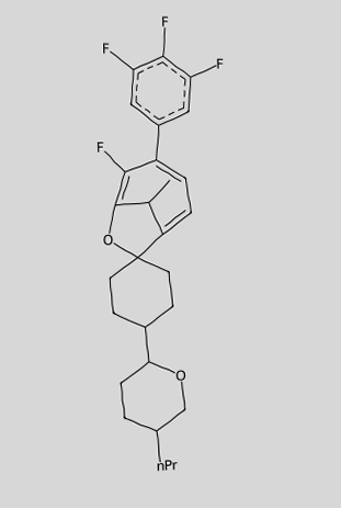 CCCC1CCC(C2CCC3(CC2)OC2=C(F)C(c4cc(F)c(F)c(F)c4)=CC=C3C2C)OC1